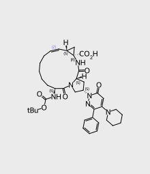 CC(C)(C)OC(=O)N[C@H]1CCCCC/C=C\[C@@H]2C[C@@]2(C(=O)O)NC(=O)[C@@H]2C[C@H](n3nc(-c4ccccc4)c(N4CCCCC4)cc3=O)CN2C1=O